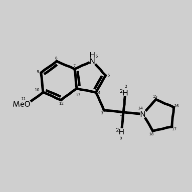 [2H]C([2H])(Cc1c[nH]c2ccc(OC)cc12)N1CCCC1